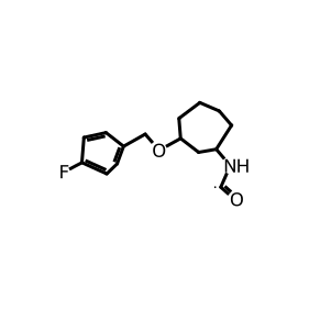 O=[C]NC1CCCCC(OCc2ccc(F)cc2)C1